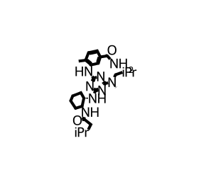 Cc1ccc(C(N)=O)cc1Nc1nc(N[C@H]2CCCC[C@H]2NC(=O)CC(C)C)nc(N(C)CC(C)C)n1